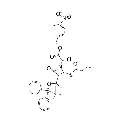 CCCC(=O)SC1C(C(C)O[Si](c2ccccc2)(c2ccccc2)C(C)(C)C)C(=O)N1C(Cl)C(=O)OCc1ccc([N+](=O)[O-])cc1